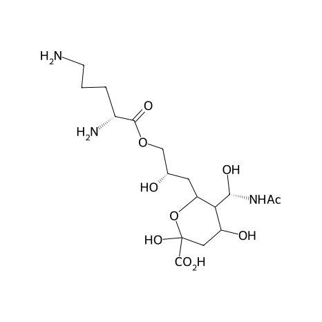 CC(=O)N[C@@H](O)C1C(O)CC(O)(C(=O)O)OC1C[C@H](O)COC(=O)[C@H](N)CCCN